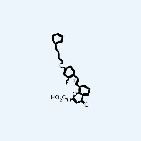 O=C(O)Oc1cc(=O)c2cccc(/C=C/c3ccc(OCCCCc4ccccc4)cc3F)c2o1